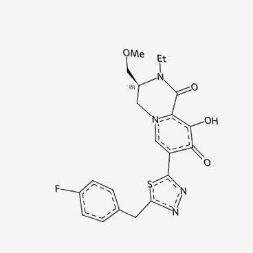 CCN1C(=O)c2c(O)c(=O)c(-c3nnc(Cc4ccc(F)cc4)s3)cn2C[C@H]1COC